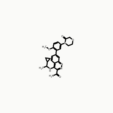 COc1ccc(N2CCOCC2=O)cc1-c1ccc2c(NC(C)C3CC3)c(C(N)=O)nnc2c1